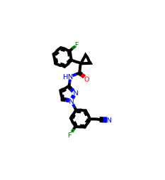 N#Cc1cc(F)cc(-n2ccc(NC(=O)C3(c4ccccc4F)CC3)n2)c1